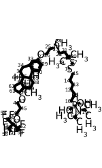 CC(C)N(C(C)C)[PH](O)(O)CCCCCCSSC(C)(C)CCN(C)CCOc1ccc2c(c1)CC[C@@H]1[C@@H]2CC[C@]2(C)[C@@H](OCCCOC(C(F)(F)F)(C(F)(F)F)C(F)(F)F)CC[C@@H]12